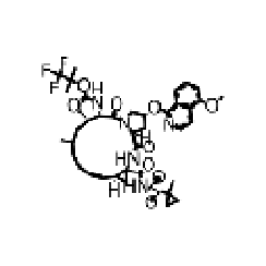 COc1cccc2c(O[C@@H]3C[C@H]4C(=O)N[C@]5(C(=O)NS(=O)(=O)C6(C)CC6)C[C@H]5C=CCC[C@@H](C)C[C@@H](C)[C@H](NC(=O)OC(C)(C)C(F)(F)F)C(=O)N4C3)nccc12